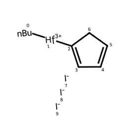 CCC[CH2][Hf+3][C]1=CC=CC1.[I-].[I-].[I-]